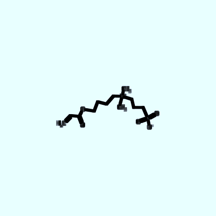 C=CC(=O)OCCCC[N+](C)(C)CCCS(=O)(=O)[O-]